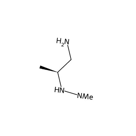 CNN[C@@H](C)CN